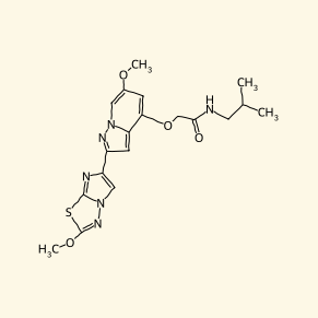 COc1cc(OCC(=O)NCC(C)C)c2cc(-c3cn4nc(OC)sc4n3)nn2c1